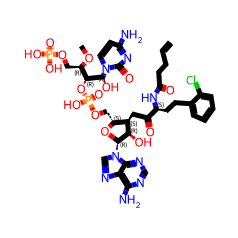 C=CCCC(=O)N[C@@H](CCc1ccccc1Cl)C(=O)C[C@H]1[C@@H](O)[C@H](n2cnc3c(N)ncnc32)O[C@@H]1COP(=O)(O)O[C@@H]([C@@H](O)n1ccc(N)nc1=O)[C@@H](COP(=O)(O)O)OC